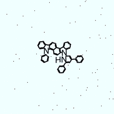 C1=C(c2ccccc2)C=C(c2ccccc2)NC1n1c2ccccc2c2c3ccc4c5ccccc5n(-c5ccccc5)c4c3ccc21